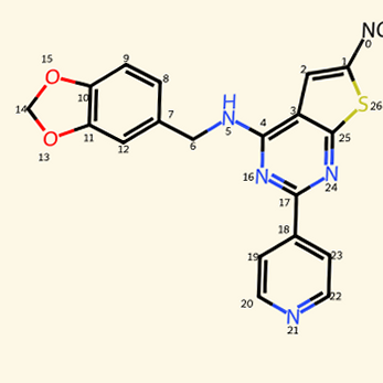 O=[N+]([O-])c1cc2c(NCc3ccc4c(c3)OCO4)nc(-c3ccncc3)nc2s1